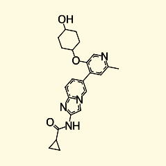 Cc1cc(-c2ccc3nc(NC(=O)C4CC4)cn3c2)c(OC2CCC(O)CC2)cn1